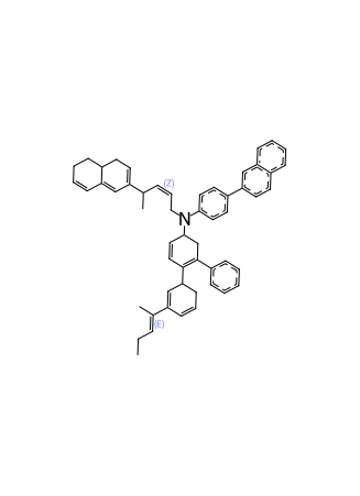 CC/C=C(\C)C1=CC(C2=C(c3ccccc3)CC(N(C/C=C\C(C)C3=CCC4CCC=CC4=C3)c3ccc(-c4ccc5ccccc5c4)cc3)C=C2)CC=C1